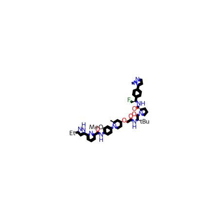 CCc1cc(-c2cccc(C(=O)Nc3ccc(N4CC[C@H](OCC(=O)N[C@H](C(=O)N5CCC[C@H]5C(=O)N[C@@H](CF)c5ccc(-c6ccnn6C)cc5)C(C)(C)C)C[C@@H]4C)cc3OC)n2)[nH]n1